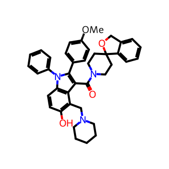 COc1ccc(-c2c(C(=O)N3CCC4(CC3)OCc3ccccc34)c3c(CN4CCCCC4)c(O)ccc3n2-c2ccccc2)cc1